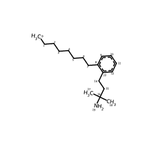 CCCCCCCCc1ccccc1CCC(C)(C)N